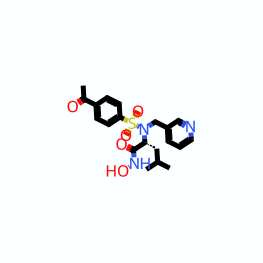 CC(=O)c1ccc(S(=O)(=O)N(Cc2cccnc2)[C@H](CC(C)C)C(=O)NO)cc1